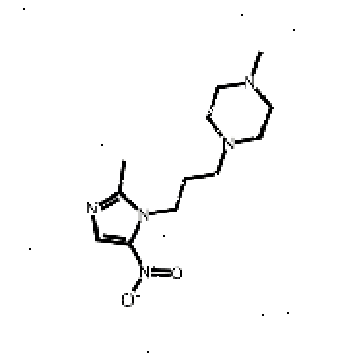 Cc1ncc([N+](=O)[O-])n1CCCN1CCN(C)CC1